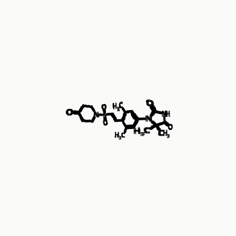 Cc1cc(N2C(=O)NC(=O)C2(C)C)cc(C)c1C=CS(=O)(=O)N1CCC(=O)CC1